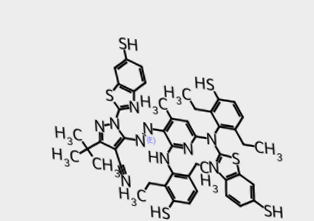 CCc1ccc(S)c(CC)c1Nc1nc(N(c2nc3ccc(S)cc3s2)c2c(CC)ccc(S)c2CC)cc(C)c1/N=N/c1c(C#N)c(C(C)(C)C)nn1-c1nc2ccc(S)cc2s1